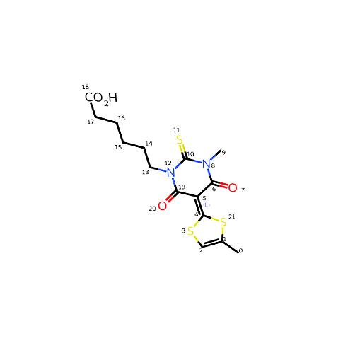 CC1=CS/C(=C2/C(=O)N(C)C(=S)N(CCCCCC(=O)O)C2=O)S1